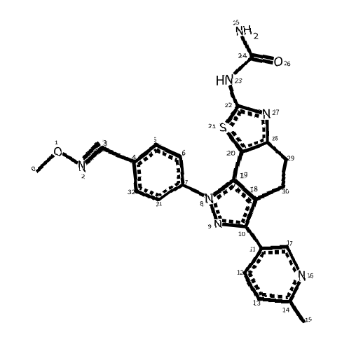 CO/N=C/c1ccc(-n2nc(-c3ccc(C)nc3)c3c2-c2sc(NC(N)=O)nc2CC3)cc1